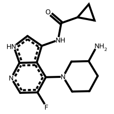 NC1CCCN(c2c(F)cnc3[nH]cc(NC(=O)C4CC4)c23)C1